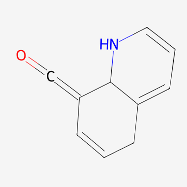 O=C=C1C=CCC2=CC=CNC12